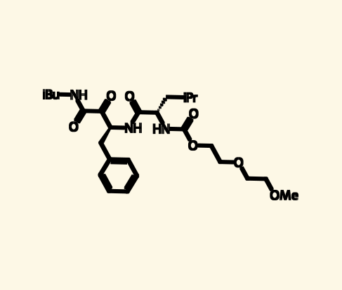 CCC(C)NC(=O)C(=O)[C@H](Cc1ccccc1)NC(=O)[C@H](CC(C)C)NC(=O)OCCOCCOC